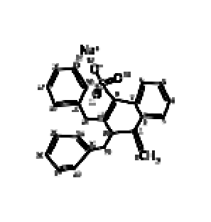 C=C1c2ccccc2C(S(=O)(=O)[O-])=C(Cc2ccccc2)C1Cc1ccccc1.[Na+]